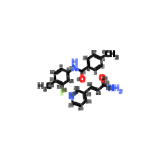 Cc1ccc(C(=O)Nc2ccc(C)c(F)c2)cc1.NC(=O)C=Cc1cccnc1